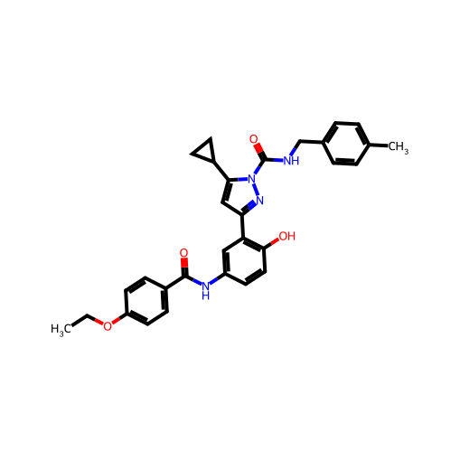 CCOc1ccc(C(=O)Nc2ccc(O)c(-c3cc(C4CC4)n(C(=O)NCc4ccc(C)cc4)n3)c2)cc1